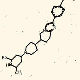 CCC1CC(N2CCC(C3CCc4nc(-c5ccc([S+](C)[O-])cc5)cn4C3)CC2)CC(C)N1